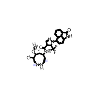 C=C(NC1/C=C\N/N=C\C(Cl)C(OC)C1)C1C=NN(c2ccc3c4c(cccc24)C(=O)N3)C1C(F)(F)F